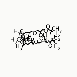 C=C(C)C(=O)OCC(O)COCCC[Si](C)(C)O[Si](C)(C)O[Si](C)(C)CCCOCC(O)COC(=O)C(=C)C